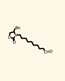 CCC(C)C1COC(=O)N1CCCCCCCCCC=O